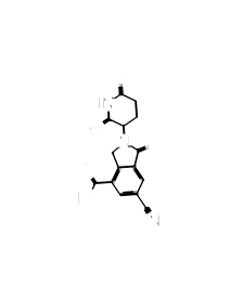 N#Cc1cc(C(=O)O)c2c(c1)C(=O)N(C1CCC(=O)NC1=O)C2